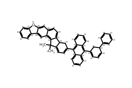 CC1(C)C2=CC=C(c3c4ccccc4c(C4=CC=CC(c5ccccc5)C4)c4ccccc34)CC2c2ccc3cc4oc5ccccc5c4cc3c21